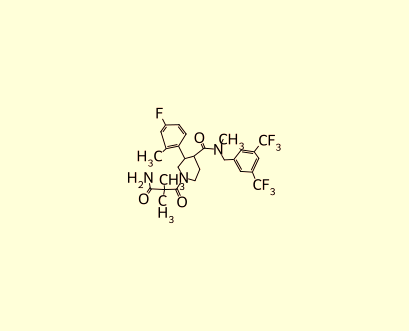 Cc1cc(F)ccc1C1CN(C(=O)C(C)(C)C(N)=O)CCC1C(=O)N(C)Cc1cc(C(F)(F)F)cc(C(F)(F)F)c1